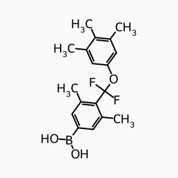 Cc1cc(OC(F)(F)c2c(C)cc(B(O)O)cc2C)cc(C)c1C